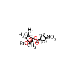 CCOC12CC(C)(C)C(O1)C(OC(=O)c1ccc([N+](=O)[O-])cc1)C=C2C